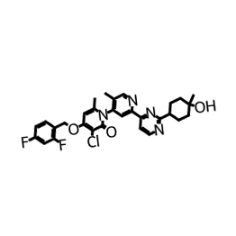 Cc1cnc(-c2ccnc(C3CCC(C)(O)CC3)n2)cc1-n1c(C)cc(OCc2ccc(F)cc2F)c(Cl)c1=O